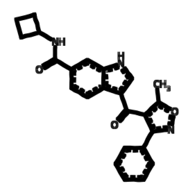 Cc1onc(-c2ccccc2)c1C(=O)c1c[nH]c2cc(C(=O)NC3CCC3)ccc12